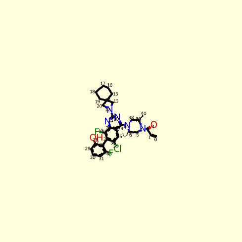 C=CC(=O)N1C[C@H](C)N(c2nc(N3CC4(CCCCC4)C3)nc3c(F)c(-c4c(O)cccc4F)c(Cl)cc23)C[C@H]1C